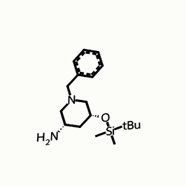 CC(C)(C)[Si](C)(C)O[C@@H]1C[C@H](N)CN(Cc2ccccc2)C1